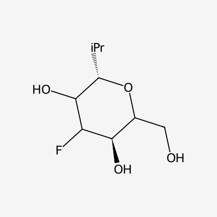 CC(C)[C@@H]1OC(CO)[C@@H](O)C(F)C1O